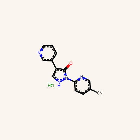 Cl.N#Cc1ccc(-n2[nH]cc(-c3cccnc3)c2=O)nc1